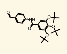 CC(C)(C)Oc1cc(C(=O)Nc2ccc(C=O)cc2)cc(OC(C)(C)C)c1OC(C)(C)C